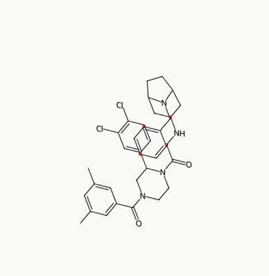 Cc1cc(C)cc(C(=O)N2CCN(C(=O)CNC3CC4CCC(C3)N4Cc3ccccc3)C(c3ccc(Cl)c(Cl)c3)C2)c1